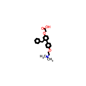 CN(C)CCOc1ccc(-c2ccc(OCC(=O)O)cc2Cc2ccccc2)cc1